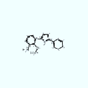 COc1c(N)cccc1-c1ccn(C2=CCCC=C2)n1